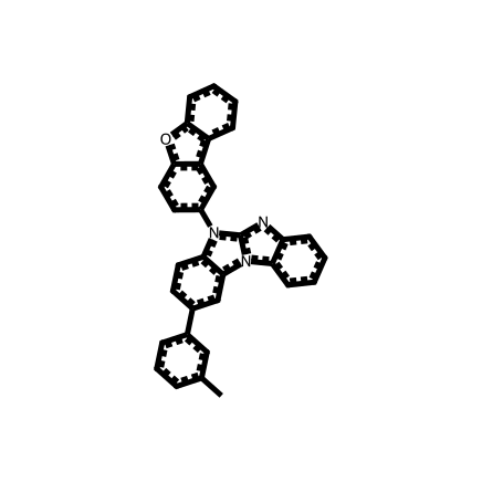 Cc1cccc(-c2ccc3c(c2)n2c4ccccc4nc2n3-c2ccc3oc4ccccc4c3c2)c1